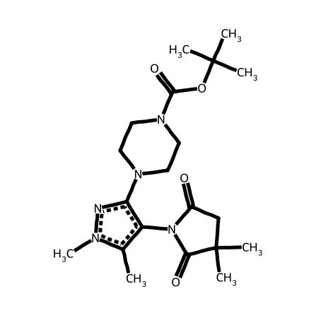 Cc1c(N2C(=O)CC(C)(C)C2=O)c(N2CCN(C(=O)OC(C)(C)C)CC2)nn1C